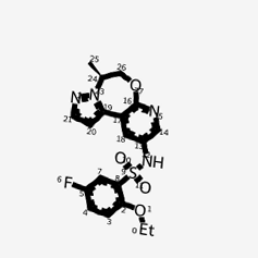 CCOc1ccc(F)cc1S(=O)(=O)Nc1cnc2c(c1)-c1ccnn1[C@@H](C)CO2